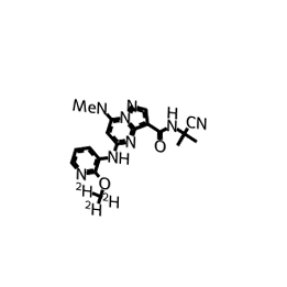 [2H]C([2H])([2H])Oc1ncccc1Nc1cc(NC)n2ncc(C(=O)NC(C)(C)C#N)c2n1